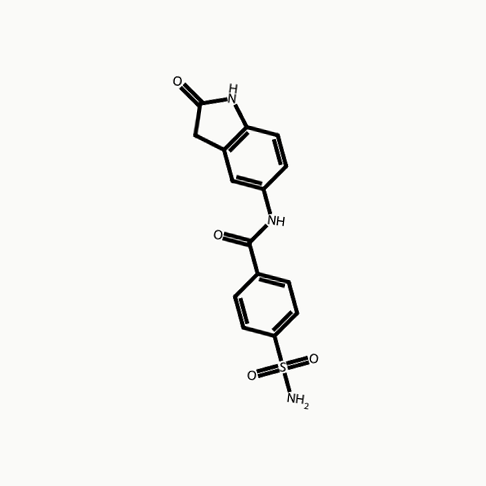 NS(=O)(=O)c1ccc(C(=O)Nc2ccc3c(c2)CC(=O)N3)cc1